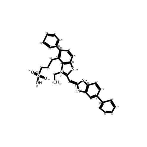 CC[n+]1c(C=C2Nc3cc(-c4ccccc4)ccc3S2)sc2ccc(-c3ccccc3)c(CCCS(=O)(=O)O)c21